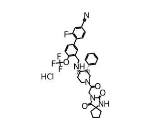 Cl.N#Cc1ccc(-c2ccc(OC(F)(F)F)c(CN[C@H]3CCN(C(=O)CN4C(=O)NC5(CCCC5)C4=O)C[C@H]3c3ccccc3)c2)c(F)c1